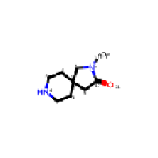 CCCN1CC2(CCNCC2)CC1=O